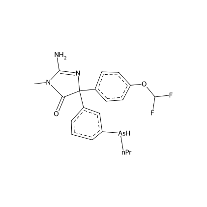 CCC[AsH]c1cccc(C2(c3ccc(OC(F)F)cc3)N=C(N)N(C)C2=O)c1